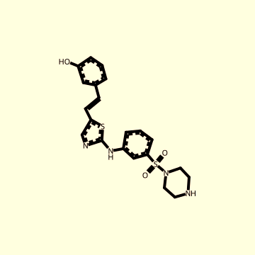 O=S(=O)(c1cccc(Nc2ncc(C=Cc3cccc(O)c3)s2)c1)N1CCNCC1